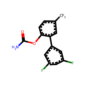 NC(=O)Oc1ccc(C(F)(F)F)cc1-c1cc(F)cc(F)c1